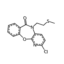 CSCCN1C(=O)c2ccccc2Oc2nc(Cl)ccc21